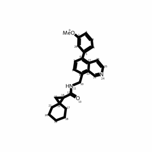 COc1cccc(-c2ccc(CNC(=O)C3CC34CCCCC4)c3cnccc23)c1